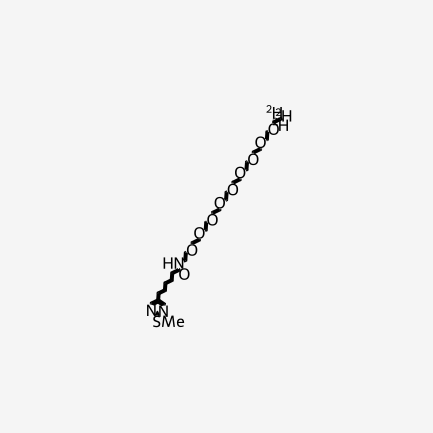 [2H]C([2H])([2H])COCCOCCOCCOCCOCCOCCOCCOCCOCCNC(=O)CCCCCc1cnc(SC)nc1